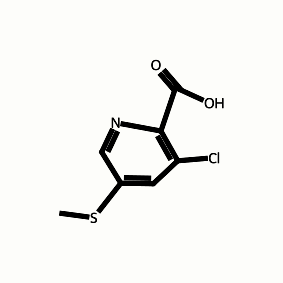 CSc1cnc(C(=O)O)c(Cl)c1